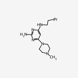 CC(C)CCNc1cc(N2CCN(C)CC2)nc(N)n1